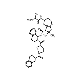 CN[C@@H](C)C(=O)N[C@H]1CCSC2CC(C)(C)[C@@H](C(=O)N[C@@H]3c4ccccc4CC[C@H]3C(=O)N3CCN(C(=O)[C@@H]4CCc5ccccc5C4)CC3)N2C1